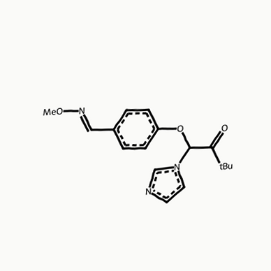 CON=Cc1ccc(OC(C(=O)C(C)(C)C)n2ccnc2)cc1